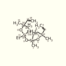 C=C[Si](C)(C)O[Si](C)(C)O[Si](CC)(CC)O[Si](C)(C)C=C